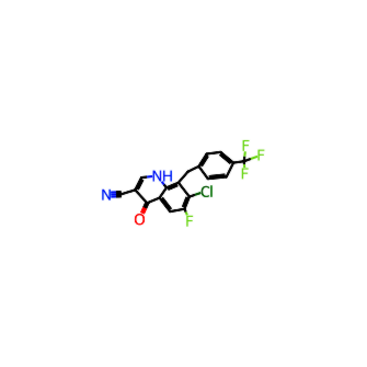 N#Cc1c[nH]c2c(Cc3ccc(C(F)(F)F)cc3)c(Cl)c(F)cc2c1=O